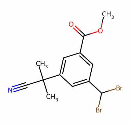 COC(=O)c1cc(C(Br)Br)cc(C(C)(C)C#N)c1